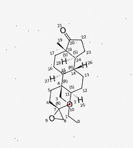 CCOC[C@]12CC[C@]3(CO3)C[C@@H]1CC[C@@H]1[C@@H]2CC[C@]2(C)C(=O)CC[C@@H]12